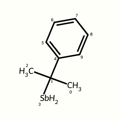 C[C](C)([SbH2])c1ccccc1